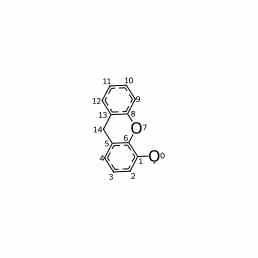 [O]c1cccc2c1Oc1ccccc1C2